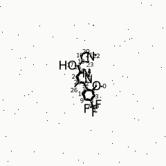 COc1cc(C(F)(F)F)ccc1-c1nnc(C(O)C2CCN(C)C2)cc1C